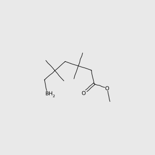 BCC(C)(C)CC(C)(C)CC(=O)OC